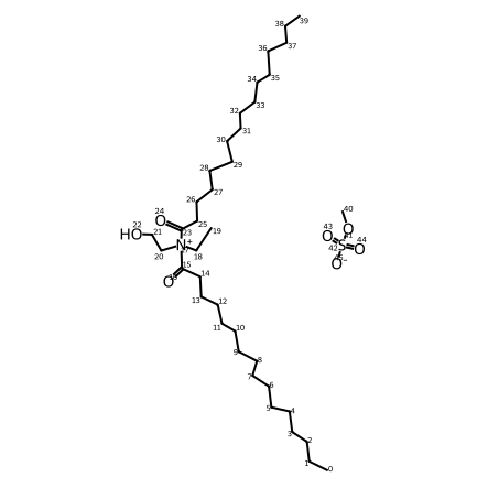 CCCCCCCCCCCCCCCC(=O)[N+](CC)(CCO)C(=O)CCCCCCCCCCCCCCC.COS(=O)(=O)[O-]